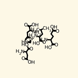 CC(C)CC(N)C(=O)O.NC(CC(=O)O)C(=O)O.NC(CCC(=O)O)C(=O)O.NC(Cc1c[nH]cn1)C(=O)O